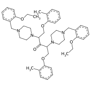 CCOc1ccccc1CN1CCN(C(COc2ccccc2C)C(=O)C(COc2ccccc2C)N2CCN(Cc3ccccc3OCC)CC2)CC1